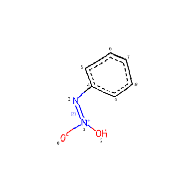 [O-]/[N+](O)=N/c1ccccc1